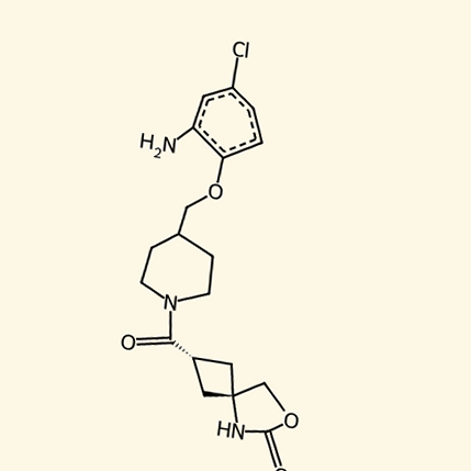 Nc1cc(Cl)ccc1OCC1CCN(C(=O)[C@H]2C[C@]3(COC(=O)N3)C2)CC1